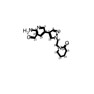 Nc1ncc(-c2cnn(CCN3CCCCC3=O)c2)cc1C=O